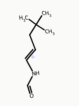 CC(C)(C)C/C=C/NC=O